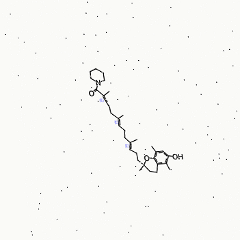 C/C(=C\CC/C(C)=C/CCC1(C)CCc2c(C)c(O)cc(C)c2O1)CC/C=C(\C)C(=O)N1CCCCC1